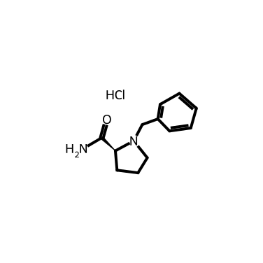 Cl.NC(=O)[C@@H]1CCCN1Cc1ccccc1